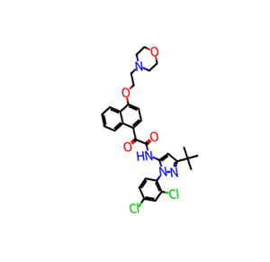 CC(C)(C)c1cc(NC(=O)C(=O)c2ccc(OCCN3CCOCC3)c3ccccc23)n(-c2ccc(Cl)cc2Cl)n1